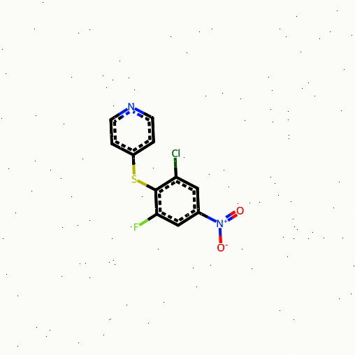 O=[N+]([O-])c1cc(F)c(Sc2ccncc2)c(Cl)c1